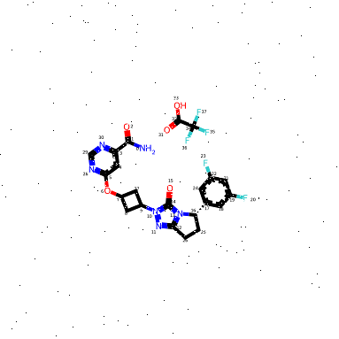 NC(=O)c1cc(OC2CC(n3nc4n(c3=O)[C@H](c3cc(F)cc(F)c3)CC4)C2)ncn1.O=C(O)C(F)(F)F